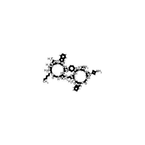 CCCCCC[C@H]1OC(=O)CNC(=O)[C@H]([C@H](C)OCCC[C@H]2C(=O)N[C@@H](C3CCCCCC3)C(=O)N[C@@H](CN)C(=O)N[C@@H](CO[C@H]3C[C@H](N)C3)C(=O)NCC(=O)O[C@H](CC3CC4CCC3C4)[C@@H](C)C(=O)N2C)NC(=O)[C@H](CN)NC(=O)[C@H](C2Cc3ccccc3C2)NC(=O)[C@H](CCC)N(C)C(=O)[C@@H]1C